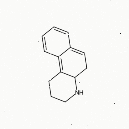 C1=c2ccccc2=C2CCCNC2C1